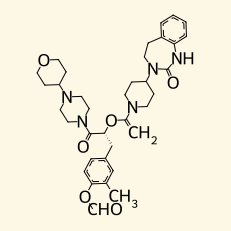 C=C(O[C@H](Cc1ccc(OC=O)c(C)c1)C(=O)N1CCN(C2CCOCC2)CC1)N1CCC(N2CCc3ccccc3NC2=O)CC1